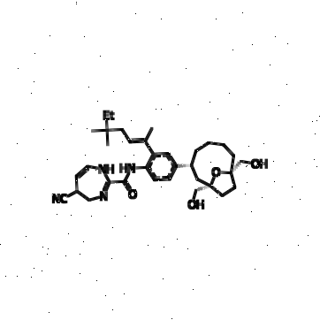 CCC(C)(C)C/C=C(\C)c1cc([C@@H]2CCCC[C@@]3(CO)CC[C@@](CO)(C2)O3)ccc1NC(=O)C1=NCC(C#N)C=CN1